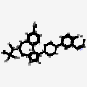 C/N=C\c1nc(N2CCC(c3nnc4n3-c3ccc(Cl)cc3CN(C(C)C(F)(F)F)C4)CC2)ccc1F